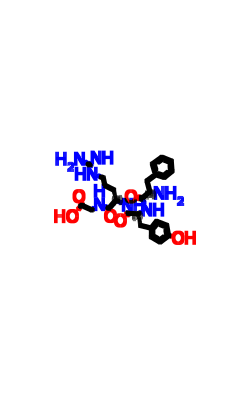 N=C(N)NCCC[C@@H](NC(=O)[C@H](Cc1ccc(O)cc1)NC(=O)[C@@H](N)Cc1ccccc1)C(=O)NCC(=O)O